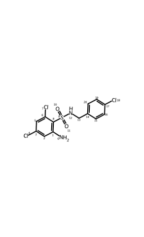 Nc1cc(Cl)cc(Cl)c1S(=O)(=O)NCc1ccc(Cl)cc1